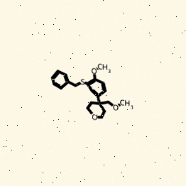 COCC1(c2ccc(OC)c(SCc3ccccc3)c2)CCOCC1